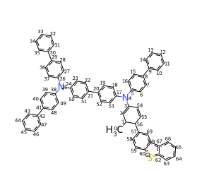 CC1C=C(N(c2ccc(-c3ccccc3)cc2)c2ccc(-c3ccc(N(c4ccc(-c5ccccc5)cc4)c4ccc(-c5ccccc5)cc4)cc3)cc2)C=CC1c1ccc2sc3ccccc3c2c1